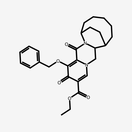 CCOC(=O)c1cn2c(c(OCc3ccccc3)c1=O)C(=O)N1C3CCCCCC(CC3)C1C2